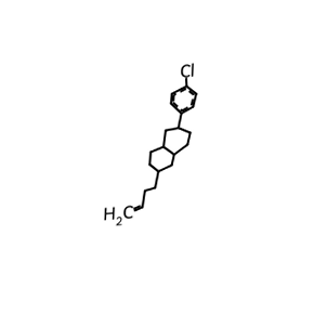 C=CCCC1CCC2CC(c3ccc(Cl)cc3)CCC2C1